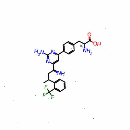 CC(CC(=N)c1cc(-c2ccc(C[C@H](N)C(=O)O)cc2)nc(N)n1)c1ccccc1C(F)(F)F